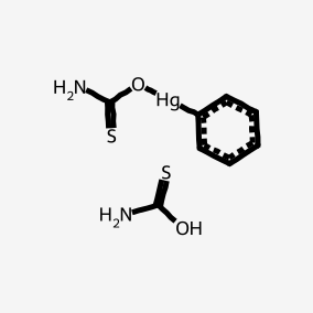 NC(=S)[O][Hg][c]1ccccc1.NC(O)=S